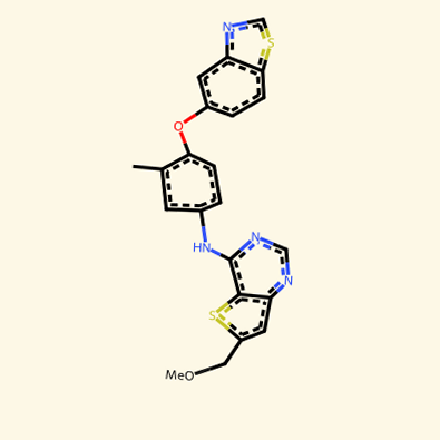 COCc1cc2ncnc(Nc3ccc(Oc4ccc5scnc5c4)c(C)c3)c2s1